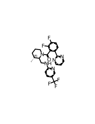 C[C@@H]1CCCN(C(=O)c2c(-c3ncccn3)ccc(F)c2F)C1CNc1ccc(C(F)(F)F)cn1